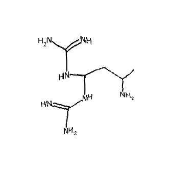 CC(N)CC(NC(=N)N)NC(=N)N